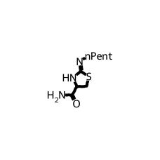 CCCCCN=C1NC(C(N)=O)CS1